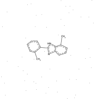 Cc1ccccc1-c1nc2cccc(C)c2[nH]1